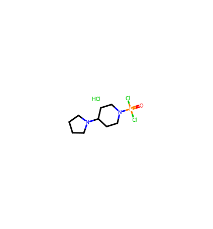 Cl.O=P(Cl)(Cl)N1CCC(N2CCCC2)CC1